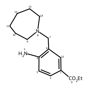 CCOC(=O)c1ccc(N)c(CN2CCCCCC2)c1